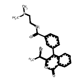 CC(Br)c1oc(=O)c2ccccc2c1-c1cccc(C(=O)NCCN(C)C)c1